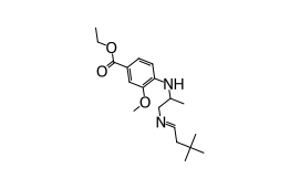 CCOC(=O)c1ccc(NC(C)C/N=C/CC(C)(C)C)c(OC)c1